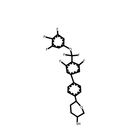 Fc1cc(OC(F)(F)c2c(F)cc(-c3ccc(C4CCC(S)CO4)cc3)cc2F)cc(F)c1F